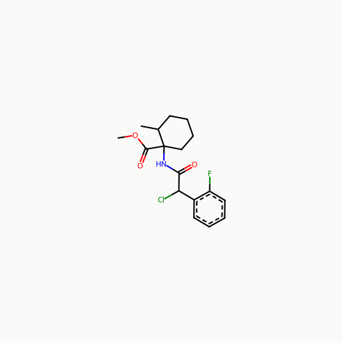 COC(=O)C1(NC(=O)C(Cl)c2ccccc2F)CCCCC1C